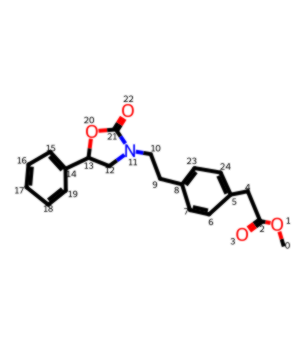 COC(=O)Cc1ccc(CCN2CC(c3ccccc3)OC2=O)cc1